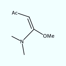 COC(=CC(C)=O)N(C)C